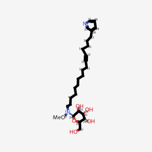 CON(CCCCCCCCCCC#CCCCCc1cccnc1)[C@@H]1OC(CO)[C@@H](O)[C@H](O)C1O